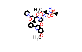 C=C[C@@H]1C[C@]1(NC(=O)[C@@H]1C[C@@H](Oc2cc(-c3ccccc3)nc3cc(OC)ccc23)CN1C(=O)[C@@H](CC(=O)N1CCCCC1)C1CC1)C(=O)NS(=O)(=O)C1CC1